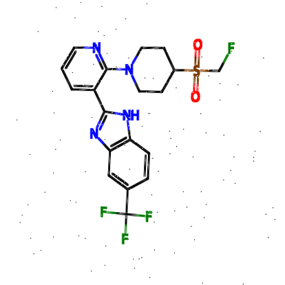 O=S(=O)(CF)C1CCN(c2ncccc2-c2nc3cc(C(F)(F)F)ccc3[nH]2)CC1